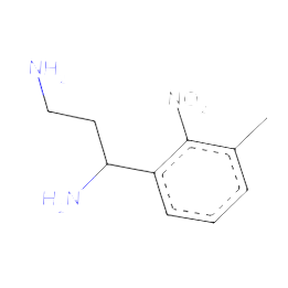 Cc1cccc(C(N)CCN)c1[N+](=O)[O-]